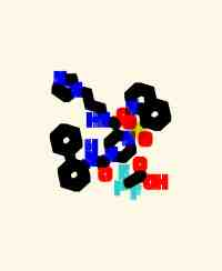 O=C(NCCCn1ccnc1)[C@H]1CN(C(=O)Nc2ccccc2-c2ccccc2)CCN1S(=O)(=O)c1cccc2cccnc12.O=C(O)C(F)(F)F